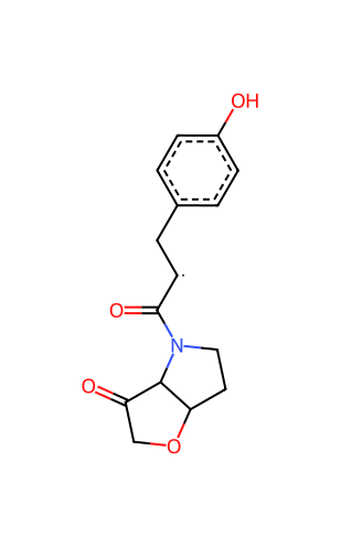 O=C1COC2CCN(C(=O)[CH]Cc3ccc(O)cc3)C12